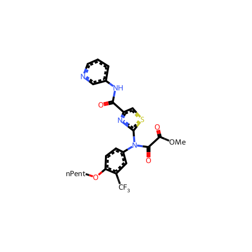 CCCCCOc1ccc(N(C(=O)C(=O)OC)c2nc(C(=O)Nc3cccnc3)cs2)cc1C(F)(F)F